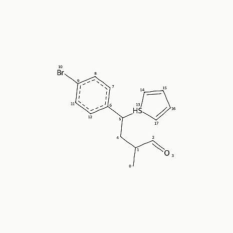 CC(C=O)CC(c1ccc(Br)cc1)[SH]1C=CC=C1